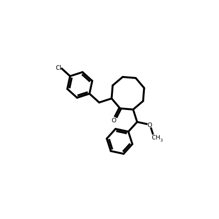 COC(c1ccccc1)C1CCCCCC(Cc2ccc(Cl)cc2)C1=O